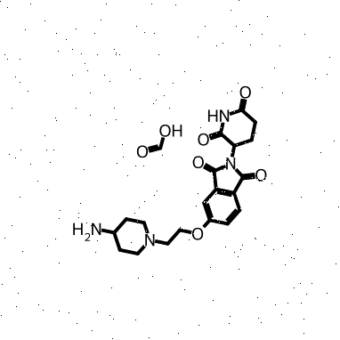 NC1CCN(CCOc2ccc3c(c2)C(=O)N(C2CCC(=O)NC2=O)C3=O)CC1.O=CO